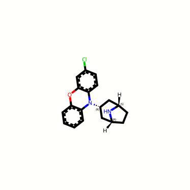 Clc1ccc2c(c1)Oc1ccccc1N2[C@H]1C[C@H]2CC[C@@H](C1)N2